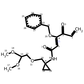 C=CC(=O)/C(=C/C(=O)NC1(COCC(OC)OC)CC1)OCc1ccccc1